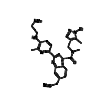 CCn1ncc(CN(C)C(=O)c2cc(-c3ccc(NCCNC)c(C)n3)nc3cc(COC)ccc23)c1C